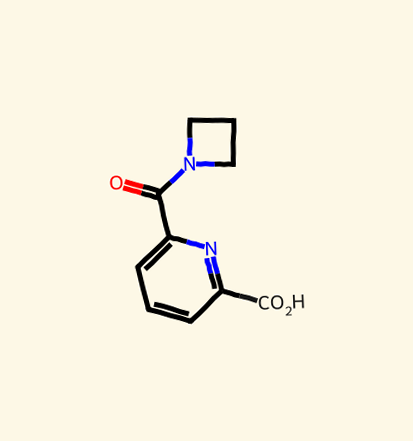 O=C(O)c1cccc(C(=O)N2CCC2)n1